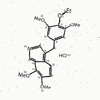 CCOc1c(OC)cc(Cc2cncc3c(OC)c(OC)ccc23)cc1OC.Cl